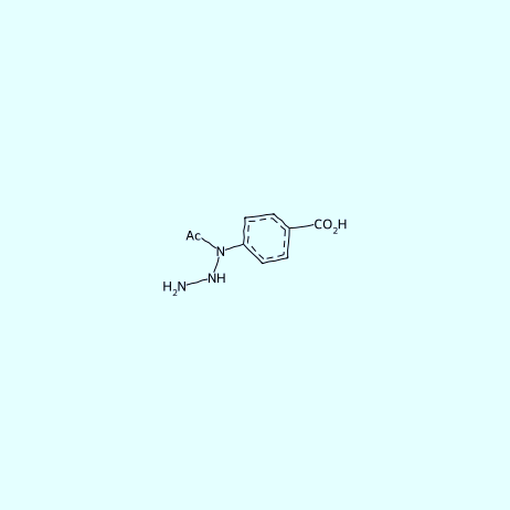 CC(=O)N(NN)c1ccc(C(=O)O)cc1